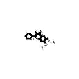 COc1cc2[nH]c(-c3ccccc3)c(I)c(=O)c2cc1OC